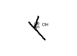 CCCCCCCCCCCCCCCCC(CCCCCCCC)NCCOC(=O)CCCCCCC.Cl